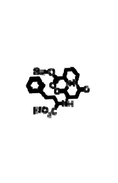 CCOC(=O)C(CCc1ccccc1)N[C@H]1CC(=O)N2CCCC(C(=O)OC(C)(C)C)N2C1=O